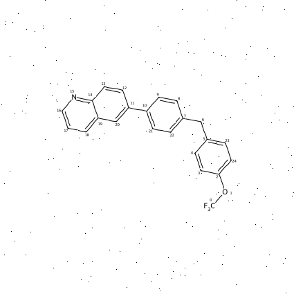 FC(F)(F)Oc1ccc(Cc2ccc(-c3ccc4ncccc4c3)cc2)cc1